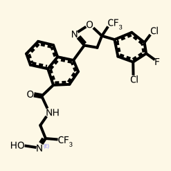 O=C(NC/C(=N\O)C(F)(F)F)c1ccc(C2=NOC(c3cc(Cl)c(F)c(Cl)c3)(C(F)(F)F)C2)c2ccccc12